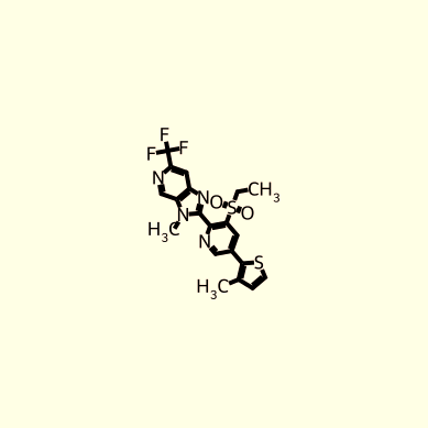 CCS(=O)(=O)c1cc(-c2sccc2C)cnc1-c1nc2cc(C(F)(F)F)ncc2n1C